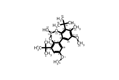 COc1cc(C(C)(C)C)c2op(O)oc3c(C(C)(C)C)c(C)c(OC)cc3c2c1